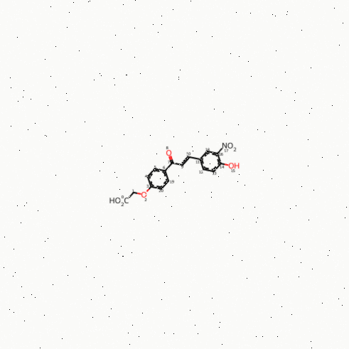 O=C(O)COc1ccc(C(=O)/C=C/c2ccc(O)c([N+](=O)[O-])c2)cc1